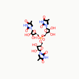 Cc1cn([C@@H]2O[C@H](COP(=O)(OC[C@H]3O[C@@H](n4cc(C)c(=O)[nH]c4=O)[C@H](O)[C@@H]3O)OC[C@H]3O[C@@H](n4cc(C)c(=O)[nH]c4=O)[C@H](O)[C@@H]3O)[C@@H](O)[C@H]2O)c(=O)[nH]c1=O